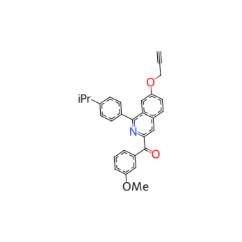 C#CCOc1ccc2cc(C(=O)c3cccc(OC)c3)nc(-c3ccc(C(C)C)cc3)c2c1